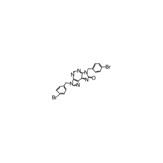 O=c1nc2c3ncn(Cc4ccc(Br)cc4)c3ncnc-2n1Cc1ccc(Br)cc1